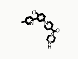 Cc1ccc(-c2cc(N3CCC(C(=O)N4CCNCC4)CC3)ccc2Cl)nc1